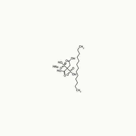 CCCCCCCCCCCCC.O=C(O)CC(C(=O)O)(S(=O)(=O)O)S(=O)(=O)O.[NaH]